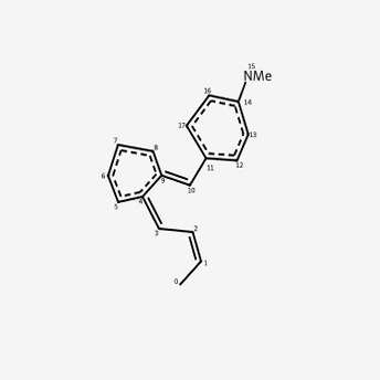 C\C=C/C=c1/cccc/c1=C\c1ccc(NC)cc1